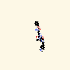 CCCN1C(=O)[C@H](CCCCNC(=O)OCc2ccccc2)NC(=O)C12CCN(/C=C/Cc1ccc(N(C)C)cc1)CC2